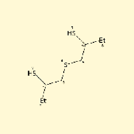 CCC(S)CSCC(S)CC